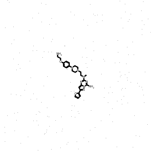 CN(CCN1CCN(c2ccc(OCCN)cc2)CC1)c1nc(N)n2nc(-c3ccco3)cc2n1